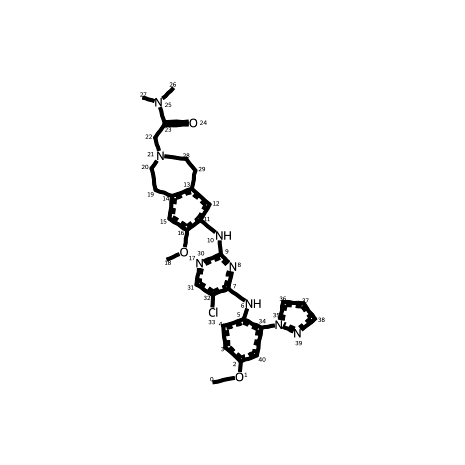 COc1ccc(Nc2nc(Nc3cc4c(cc3OC)CCN(CC(=O)N(C)C)CC4)ncc2Cl)c(-n2cccn2)c1